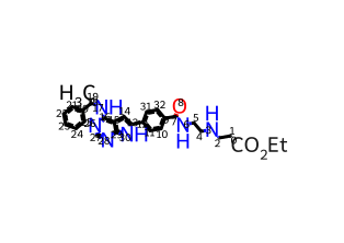 CCOC(=O)CCNCCNC(=O)c1ccc(-c2cc3c(N[C@H](C)c4ccccc4)ncnc3[nH]2)cc1